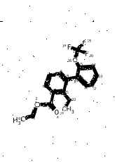 CCOC(=O)c1cccc(-c2ccccc2OC(F)(F)F)c1CC